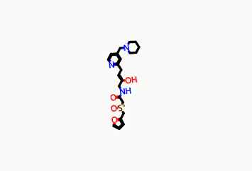 O=C(C[S+]([O-])Cc1ccco1)NCC(O)=CCc1cc(CN2CCCCC2)ccn1